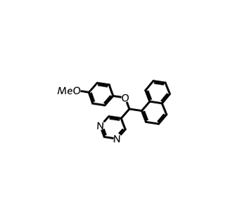 COc1ccc(OC(c2cncnc2)c2cccc3ccccc23)cc1